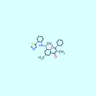 Cc1cc(C(C)Nc2ccccc2-c2cncs2)c2oc(-c3ccccc3)c(C)c(=O)c2c1